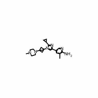 Cc1cc(-c2cn(C34CC(N5CCN(C)CC5)(C3)C4)c(C3CC3)n2)cnc1N